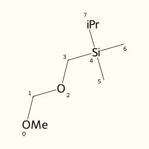 COCOC[Si](C)(C)C(C)C